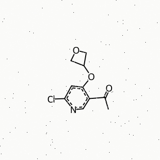 CC(=O)c1cnc(Cl)cc1OC1COC1